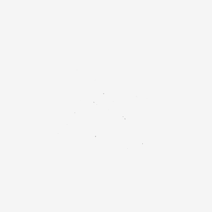 Cc1cc2c(cc1N1c3cc4c(cc3B3c5ccc(-c6ccccc6)cc5N(c5cccc(-c6ccccc6)c5)c5cc(C(C)(C)C)cc1c53)C(C)(C)CCC4(C)C)C(C)(C)CC2(C)C